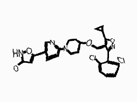 O=c1cc(-c2ccc(N3CCC(OCc4c(-c5c(Cl)cccc5Cl)noc4C4CC4)CC3)nc2)o[nH]1